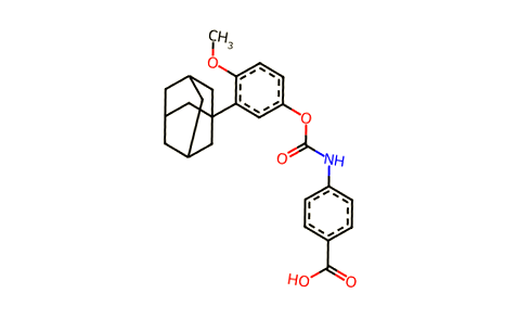 COc1ccc(OC(=O)Nc2ccc(C(=O)O)cc2)cc1C12CC3CC(CC(C3)C1)C2